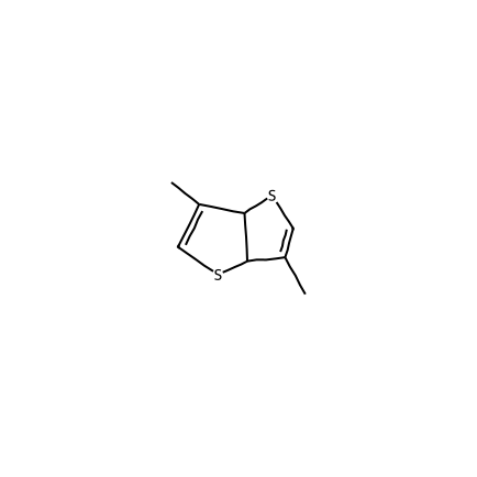 CC1=CSC2C(C)=CSC12